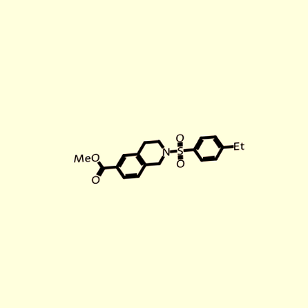 CCc1ccc(S(=O)(=O)N2CCc3cc(C(=O)OC)ccc3C2)cc1